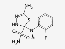 CC(=O)N(c1ccccc1F)C1(S(N)(=O)=O)NN=C(N)S1